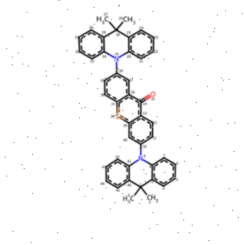 CC1(C)c2ccccc2N(c2ccc3c(=O)c4cc(N5c6ccccc6C(C)(C)c6ccccc65)ccc4sc3c2)c2ccccc21